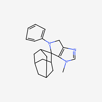 Cn1cnc2c1C1(C3CC4CC(C3)CC1C4)N(c1ccccc1)C2